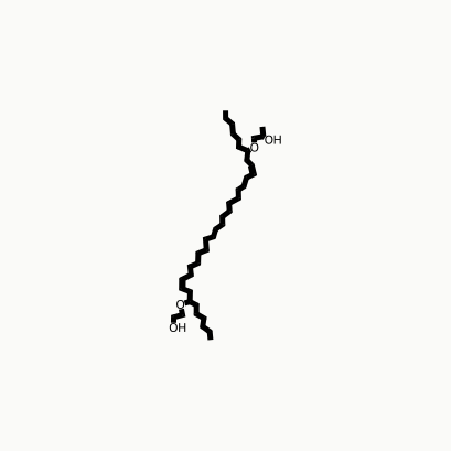 CCCCCCC(C/C=C\CCCCCCCCCCCCCCCC/C=C\CC(CCCCCC)OCC(C)O)OCCO